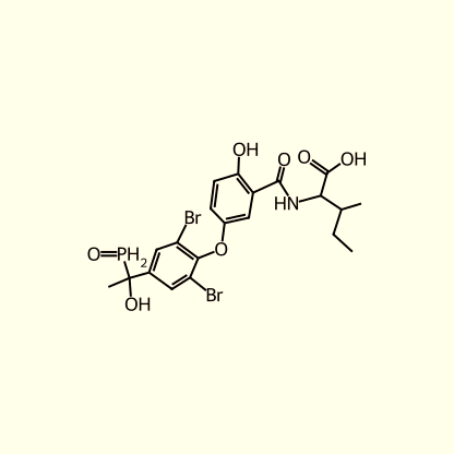 CCC(C)C(NC(=O)c1cc(Oc2c(Br)cc(C(C)(O)[PH2]=O)cc2Br)ccc1O)C(=O)O